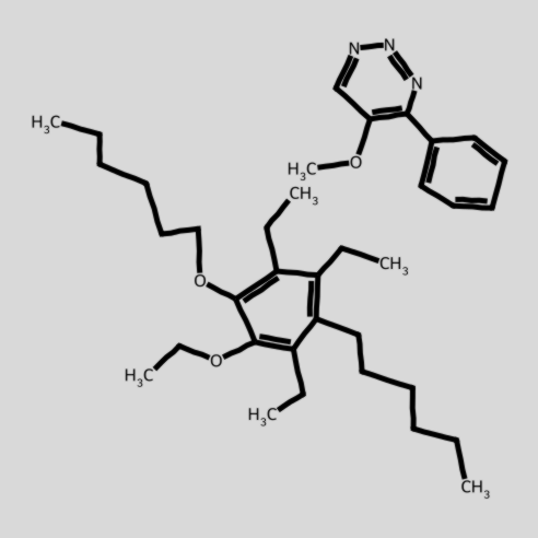 CCCCCCOc1c(CC)c(CC)c(CCCCCC)c(CC)c1OCC.COc1cnnnc1-c1ccccc1